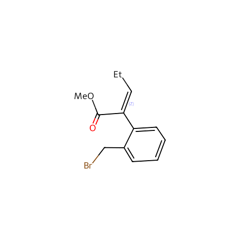 CC/C=C(\C(=O)OC)c1ccccc1CBr